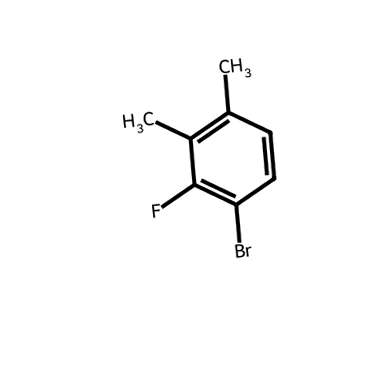 Cc1ccc(Br)c(F)c1C